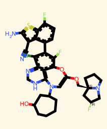 N#Cc1c(N)sc2c(F)ccc(-c3c(F)c4c5c(c3Cl)=NCNC=5N(C3CCCCC(O)C3)C=C(OC[C@@]35CCCN3C[C@H](F)C5)O4)c12